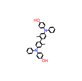 Cc1cc(N(c2ccccc2)c2ccc(O)cc2)ccc1-c1ccc(N(c2ccccc2)c2ccc(O)cc2)cc1C